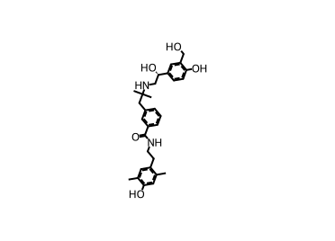 Cc1cc(CCNC(=O)c2cccc(CC(C)(C)NC[C@H](O)c3ccc(O)c(CO)c3)c2)c(C)cc1O